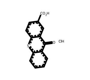 Cl.O=C(O)c1ccc2sc3ccccc3c(=O)c2c1